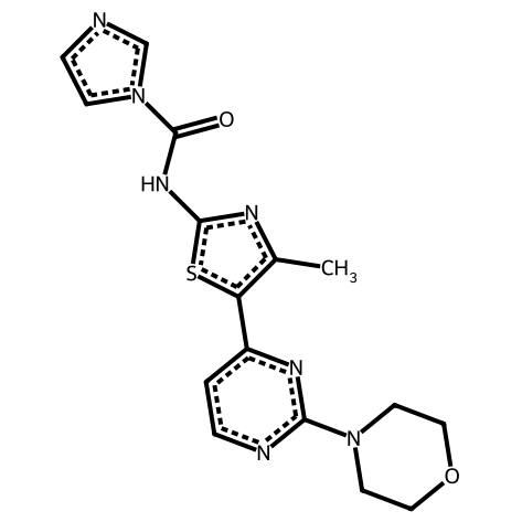 Cc1nc(NC(=O)n2ccnc2)sc1-c1ccnc(N2CCOCC2)n1